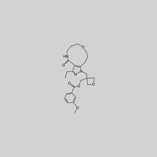 CCc1nn(CC2(COC(=O)c3cccc(OC)c3)COC2)c2c1C(=O)NCCCOCCC2